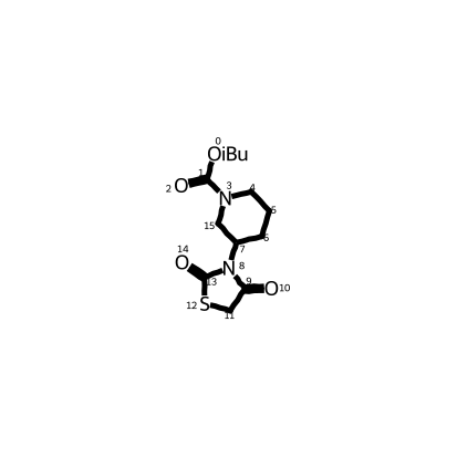 CC(C)COC(=O)N1CCCC(N2C(=O)CSC2=O)C1